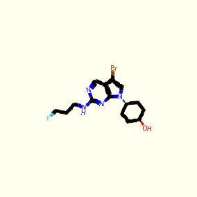 O[C@H]1CC[C@H](n2cc(Br)c3cnc(NCCCF)nc32)CC1